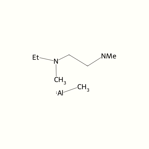 CCN(C)CCNC.[CH3][Al]